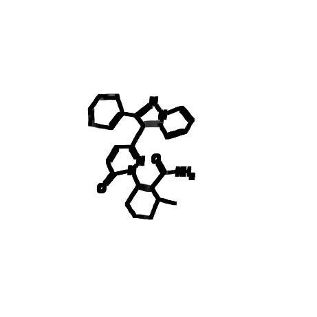 CC1CCCC(n2nc(-c3c(-c4ccccc4)nn4ccccc34)ccc2=O)=C1C(N)=O